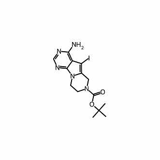 CC(C)(C)OC(=O)N1CCn2c(c(I)c3c(N)ncnc32)C1